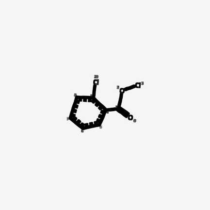 O=C(OCl)c1ccccc1Cl